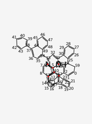 C1=CC2=C(Oc3ccccc3C23c2ccccc2-c2ccccc23)C(c2ccccc2C2=CC(c3ccc(-c4ccccc4)c4ccccc34)=NC(c3ccccc3)N2)C1